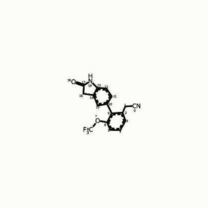 N#CCc1cccc(OC(F)(F)F)c1-c1ccc2c(c1)CC(=O)N2